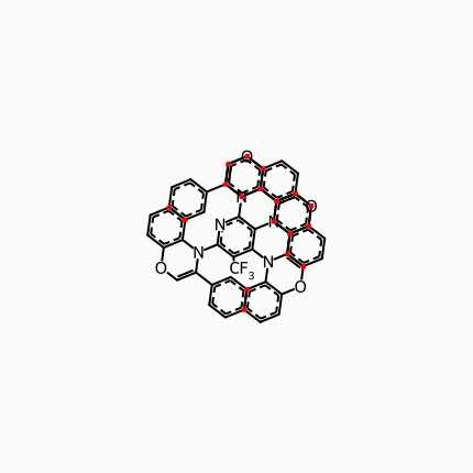 FC(F)(F)c1c(N2C(c3ccccc3)=COc3ccccc32)nc(N2C(c3ccccc3)=COc3ccccc32)c(N2C(c3ccccc3)=COc3ccccc32)c1N1C(c2ccccc2)=COc2ccccc21